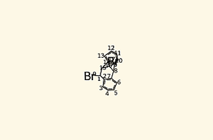 BrC1c2ccccc2C2c3ccccc3C1C2Br